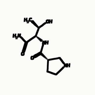 C[C@@H](O)[C@H](NC(=O)[C@H]1CCNC1)C(N)=O